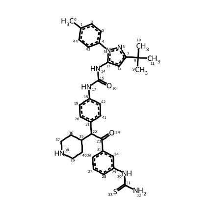 Cc1ccc(-n2nc(C(C)(C)C)cc2NC(=O)Nc2ccc(C(C(=O)c3cccc(NC(N)=S)c3)C3CCNCC3)cc2)cc1